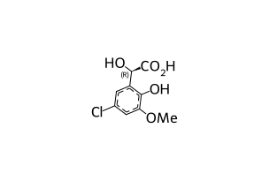 COc1cc(Cl)cc([C@@H](O)C(=O)O)c1O